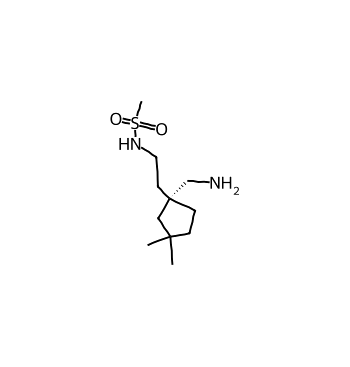 CC1(C)CC[C@](CN)(CCNS(C)(=O)=O)C1